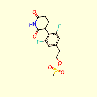 CS(=O)(=O)OCCc1cc(F)c(C2CCC(=O)NC2=O)c(F)c1